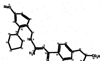 COc1ccc(CNC(N)=NC(=O)c2ccc(CC(N)C(=O)O)cc2)c(N2CCCCC2)c1